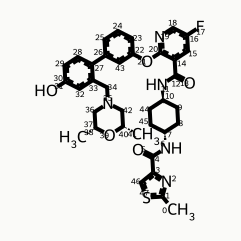 Cc1nc(C(=O)N[C@H]2CC[C@H](NC(=O)c3cc(F)cnc3Oc3cccc(-c4ccc(O)cc4CN4C[C@@H](C)O[C@@H](C)C4)c3)CC2)cs1